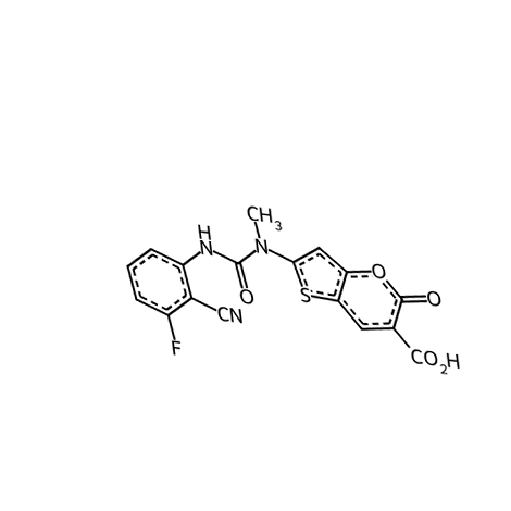 CN(C(=O)Nc1cccc(F)c1C#N)c1cc2oc(=O)c(C(=O)O)cc2s1